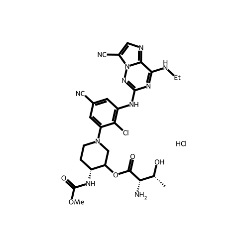 CCNc1nc(Nc2cc(C#N)cc(N3CC[C@@H](NC(=O)OC)C(OC(=O)[C@@H](N)[C@@H](C)O)C3)c2Cl)nn2c(C#N)cnc12.Cl